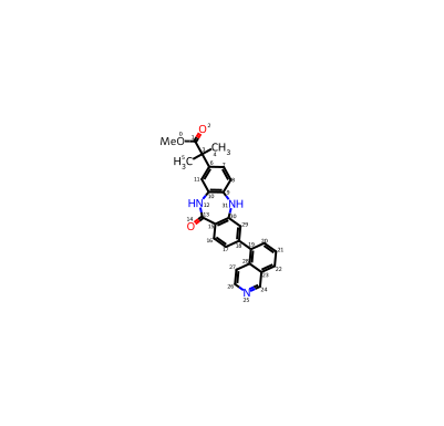 COC(=O)C(C)(C)c1ccc2c(c1)NC(=O)c1ccc(-c3cccc4cnccc34)cc1N2